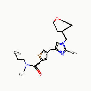 COCCN(C)C(=O)c1cc(-c2cn(CC3CCOCC3)c(C(C)(C)C)n2)cs1